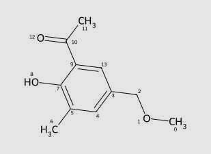 COCc1cc(C)c(O)c(C(C)=O)c1